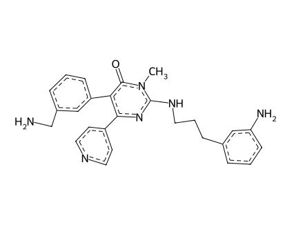 Cn1c(NCCCc2cccc(N)c2)nc(-c2ccncc2)c(-c2cccc(CN)c2)c1=O